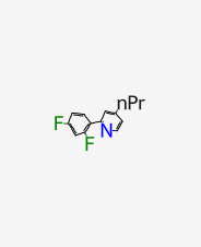 CCCc1ccnc(-c2ccc(F)cc2F)c1